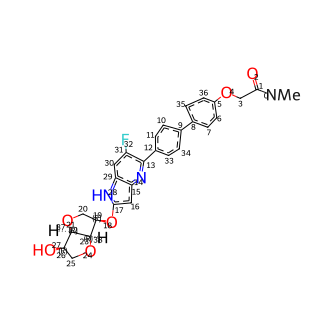 CNC(=O)COc1ccc(-c2ccc(-c3nc4cc(O[C@@H]5CO[C@H]6[C@@H]5OC[C@H]6O)[nH]c4cc3F)cc2)cc1